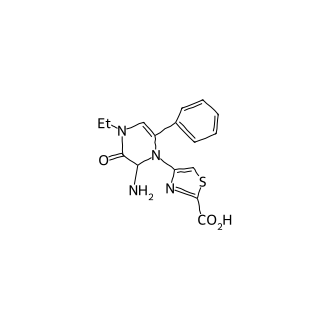 CCN1C=C(c2ccccc2)N(c2csc(C(=O)O)n2)C(N)C1=O